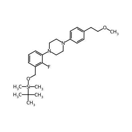 COCCc1ccc(N2CCN(c3cccc(CO[Si](C)(C)C(C)(C)C)c3F)CC2)cc1